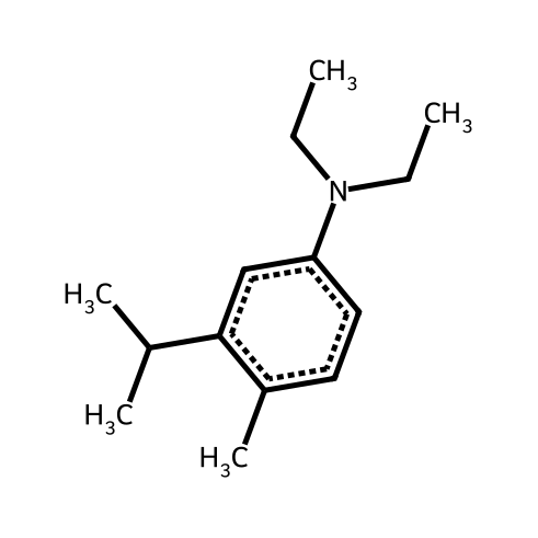 CCN(CC)c1ccc(C)c(C(C)C)c1